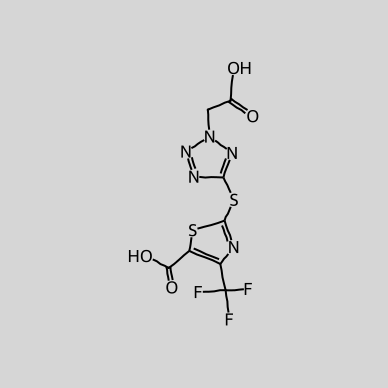 O=C(O)Cn1nnc(Sc2nc(C(F)(F)F)c(C(=O)O)s2)n1